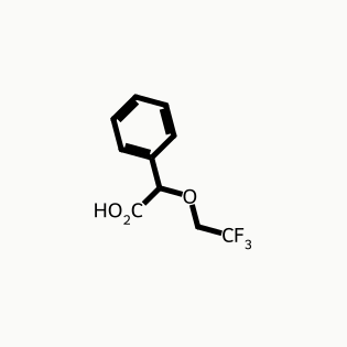 O=C(O)C(OCC(F)(F)F)c1ccccc1